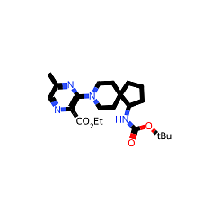 CCOC(=O)c1ncc(C)nc1N1CCC2(CCCC2NC(=O)OC(C)(C)C)CC1